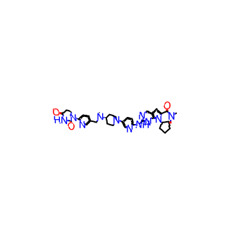 CN(C)C(=O)c1cc2cnc(Nc3ccc(N4CCC(N(C)Cc5ccc(N6CCC(=O)NC6=O)nc5)CC4)cn3)nc2n1C1CCCC1